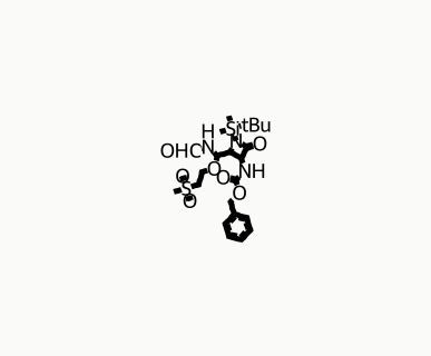 CC(C)(C)[Si](C)(C)N1C(=O)C(NC(=O)OCc2ccccc2)C1C(NC=O)OCCS(C)(=O)=O